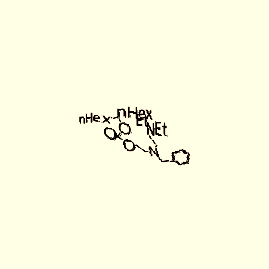 [CH2]CCCCCC(CCCCC[CH2])OC(=O)OCCN(CCN(CC)CC)Cc1ccccc1